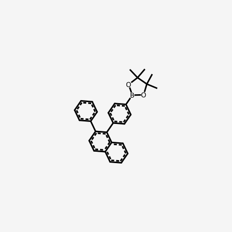 CC1(C)OB(c2ccc(-c3c(-c4ccccc4)ccc4ccccc34)cc2)OC1(C)C